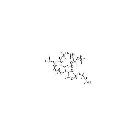 CC(O[Si](C)(C)O[Si](C)(C)O[SiH](C)C)C(O[Si](C)(C)O[Si](C)(C)O[SiH](C)C)C(O[Si](C)(C)O[Si](C)(C)O[SiH](C)C)C(C)O[Si](C)(C)O[Si](C)(C)O[SiH](C)C